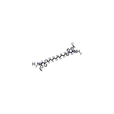 CCO/C(N)=C\C(=O)OCCCCCCCCCCOC(=O)/C=C(/N)OCC